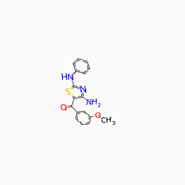 COc1cccc(C(=O)c2sc(Nc3ccccc3)nc2N)c1